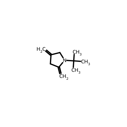 C=C1CC(=C)N(C(C)(C)C)C1